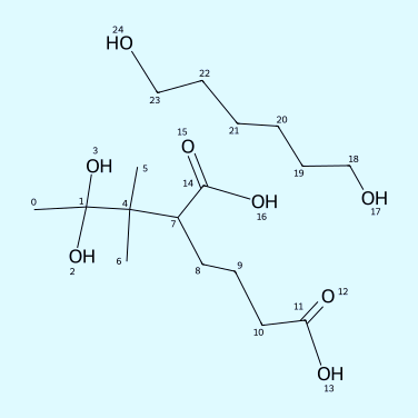 CC(O)(O)C(C)(C)C(CCCC(=O)O)C(=O)O.OCCCCCCO